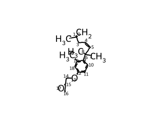 C=C(C)C/C=C\C(C)(C)c1ccc(OCC2CO2)cc1C